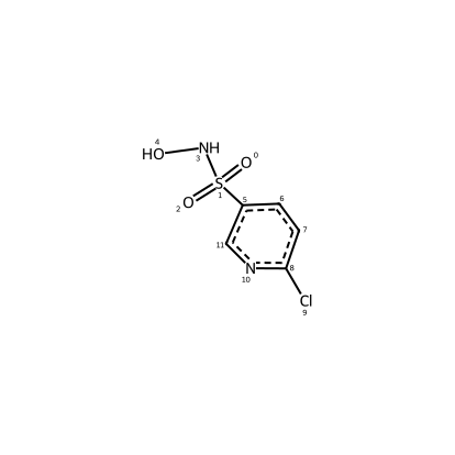 O=S(=O)(NO)c1ccc(Cl)nc1